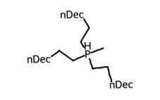 CCCCCCCCCCCC[PH](C)(CCCCCCCCCCCC)CCCCCCCCCCCC